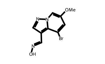 COc1cc(Br)c2c(C=NO)cnn2c1